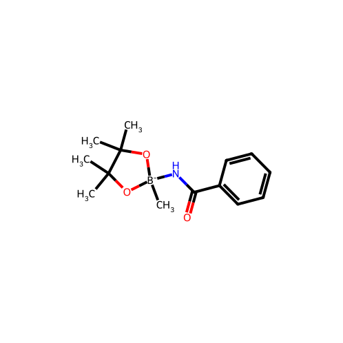 C[B-]1(NC(=O)c2ccccc2)OC(C)(C)C(C)(C)O1